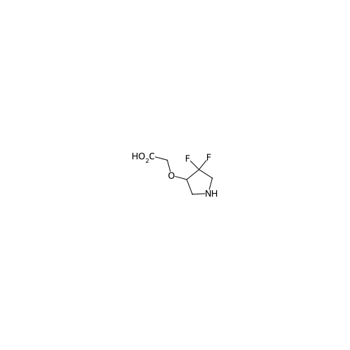 O=C(O)COC1CNCC1(F)F